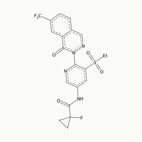 CCS(=O)(=O)c1cc(NC(=O)C2(F)CC2)cnc1-n1ncc2ccc(C(F)(F)F)cc2c1=O